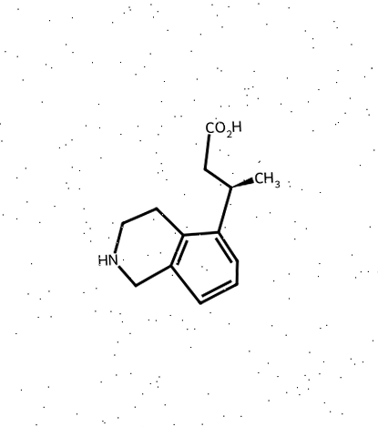 C[C@H](CC(=O)O)c1cccc2c1CCNC2